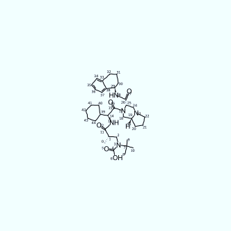 C[C@@H](CN(C(=O)O)C(C)(C)C)C(=O)N[C@H](C(=O)N1C[C@H]2CCCN2C[C@H]1C(=O)N[C@@H]1CCCc2ccccc21)C1CCCCC1